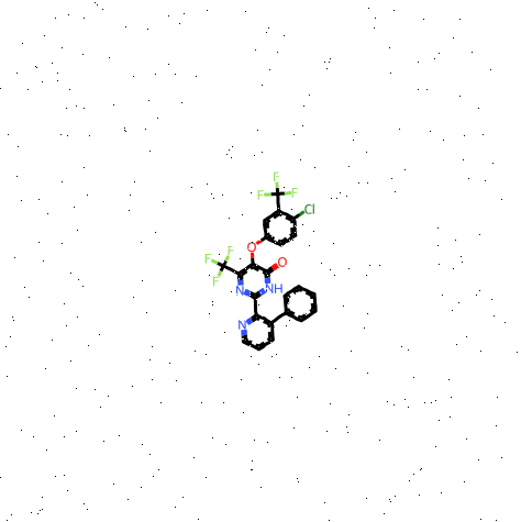 O=c1[nH]c(-c2ncccc2-c2ccccc2)nc(C(F)(F)F)c1Oc1ccc(Cl)c(C(F)(F)F)c1